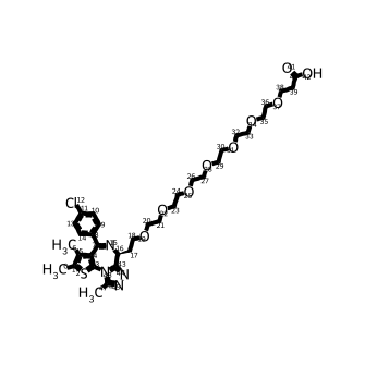 Cc1sc2c(c1C)C(c1ccc(Cl)cc1)=N[C@@H](CCOCCOCCOCCOCCOCCOCCOCCC(=O)O)c1nnc(C)n1-2